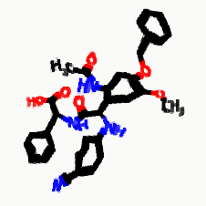 COc1cc([C@H](Nc2ccc(C#N)cc2)C(=O)N[C@H](C(=O)O)c2ccccc2)c(NC(C)=O)cc1OCc1ccccc1